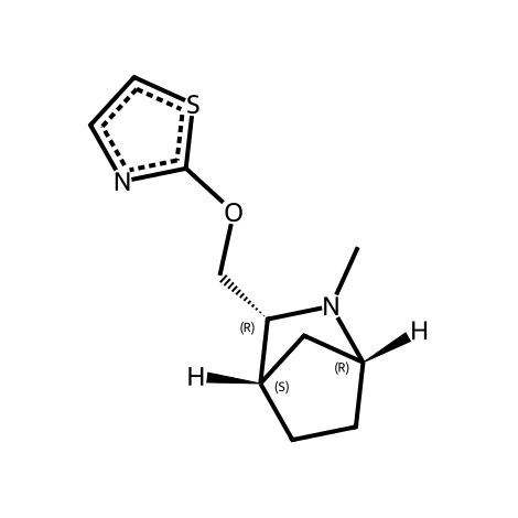 CN1[C@@H]2CC[C@@H](C2)[C@@H]1COc1nccs1